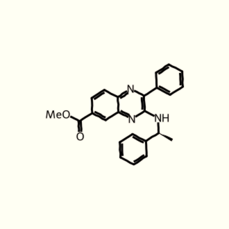 COC(=O)c1ccc2nc(-c3ccccc3)c(N[C@@H](C)c3ccccc3)nc2c1